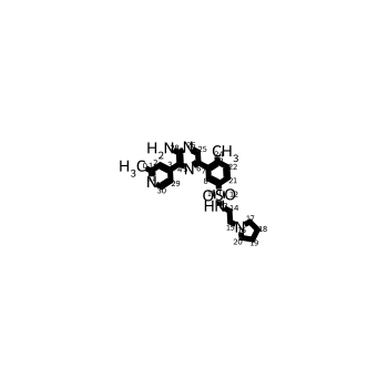 Cc1cc(-c2nc(-c3cc(S(=O)(=O)NCCN4CCCC4)ccc3C)cnc2N)ccn1